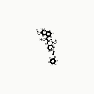 COC(=O)[C@H]1CN(CCSc2ccccc2)CC[C@H]1CCC(O)c1cccc2ncc(OC)cc12